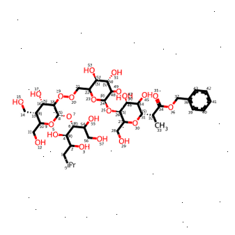 CC(C)CC(O)[C@@H](O)[C@H](O[C@@H]1OC(CO)[C@H](CO)[C@H](O)C1OOCC1O[C@H](O[C@@H]2C(CO)O[C@@H](C(C)C(=O)OCc3ccccc3)C(O)[C@H]2O)C(O)[C@@H](O)[C@@H]1O)C(O)CO